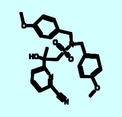 COc1ccc(CN(Cc2ccc(OC)cc2)S(=O)(=O)CC(C)(O)c2cccc(C#N)n2)cc1